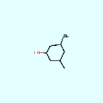 CCC(C)C1CC(C)CC(O)C1